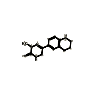 CN1N=C(c2ccc3c(c2)CCCN3)CNC1=O